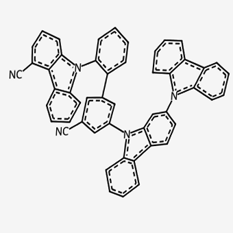 N#Cc1cc(-c2ccccc2-n2c3ccccc3c3c(C#N)cccc32)cc(-n2c3ccccc3c3ccc(-n4c5ccccc5c5ccccc54)cc32)c1